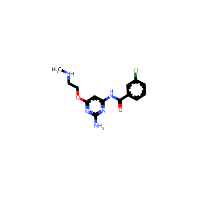 CNCCOc1cc(NC(=O)c2cccc(Cl)c2)nc(N)n1